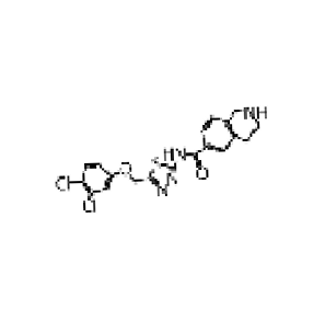 O=C(Nc1nnc(COc2ccc(Cl)c(Cl)c2)s1)c1ccc2c(c1)CCNC2